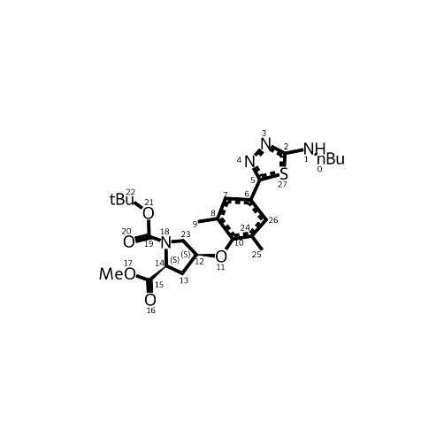 CCCCNc1nnc(-c2cc(C)c(O[C@H]3C[C@@H](C(=O)OC)N(C(=O)OC(C)(C)C)C3)c(C)c2)s1